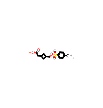 Cc1ccc(S(=O)(=O)OCC2CC(CC(=O)O)C2)cc1